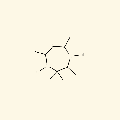 CCCN1C(C)CC(C)N(C(C)(C)C)C(C)(C)C1C